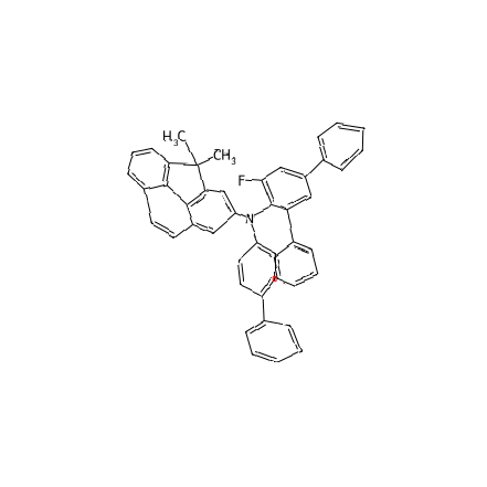 CC1(C)c2cccc3ccc4cc(N(c5ccc(-c6ccccc6)cc5)c5c(F)cc(-c6ccccc6)cc5-c5ccccc5)cc1c4c23